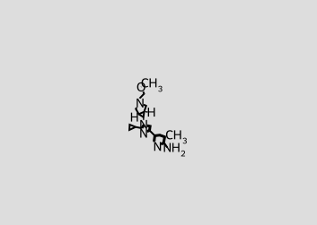 COCCN1C[C@@H]2[C@H](C1)[C@H]2n1cc(-c2cnc(N)c(C)c2)nc1C1CC1